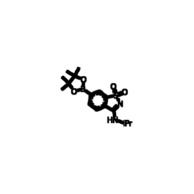 CC(C)NC1=NS(=O)(=O)c2cc(B3OC(C)(C)C(C)(C)O3)ccc21